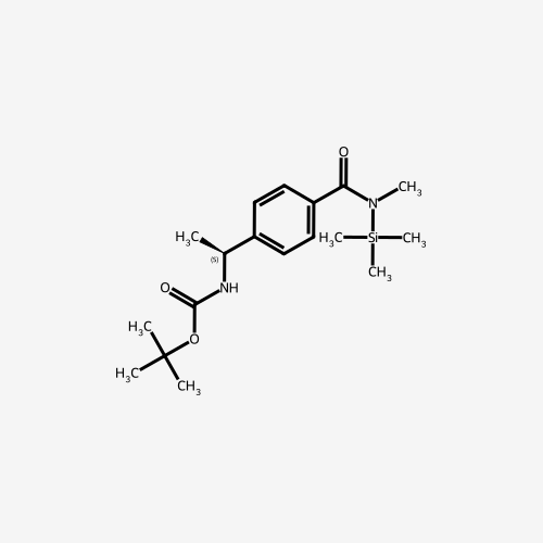 C[C@H](NC(=O)OC(C)(C)C)c1ccc(C(=O)N(C)[Si](C)(C)C)cc1